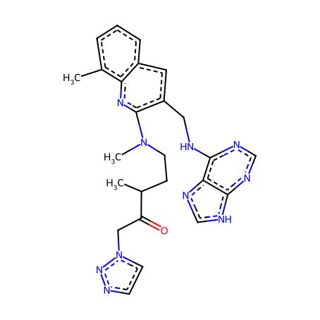 Cc1cccc2cc(CNc3ncnc4[nH]cnc34)c(N(C)CCC(C)C(=O)Cn3ccnn3)nc12